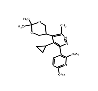 COc1ncc(-c2nnc(C)c(C3COC(C)(C)OC3)c2C2CC2)c(OC)n1